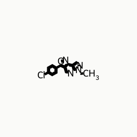 CCn1ncc2c3noc(-c4ccc(Cl)cc4)c3cnc21